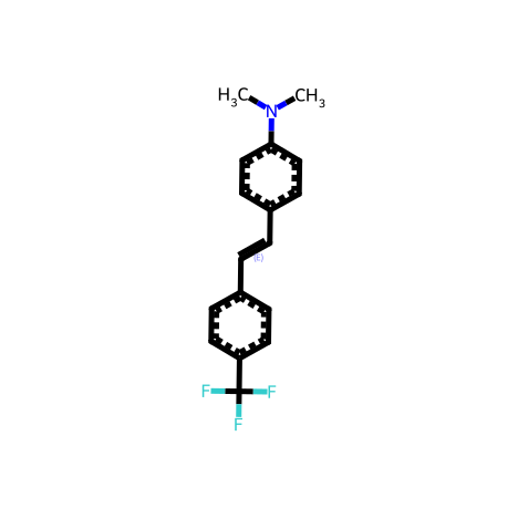 CN(C)c1ccc(/C=C/c2ccc(C(F)(F)F)cc2)cc1